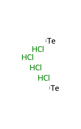 Cl.Cl.Cl.Cl.[Te].[Te]